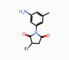 CCC1CC(=O)N(c2cc(C)cc(N)c2)C1=O